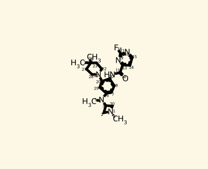 CN1CC(N(C)c2ccc(NC(=O)c3ccnc(F)n3)c(N3CCC(C)(C)CC3)c2)C1